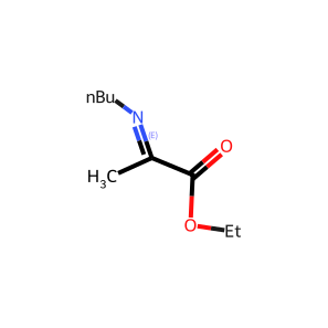 CCCC/N=C(\C)C(=O)OCC